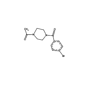 CC(=O)N1CCN(C(=O)c2ccc(Br)cc2)CC1